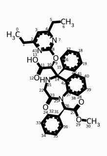 CCc1cc(CC)nc(O[C@H](C(=O)O)[C@@]2(c3ccccc3)NCC(=O)N([C@@H](C(=O)OC)c3ccccc3)c3ccccc32)n1